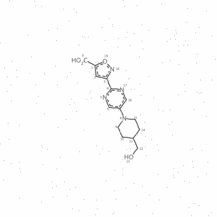 O=C(O)c1cc(-c2ncc(N3CCC(CO)CC3)cn2)no1